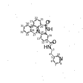 O=C(NCCc1cccnc1)c1ccc2c(c1)NC(=O)c1ccccc1N2Cc1ccccc1